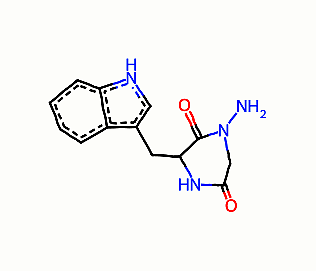 NN1CC(=O)NC(Cc2c[nH]c3ccccc23)C1=O